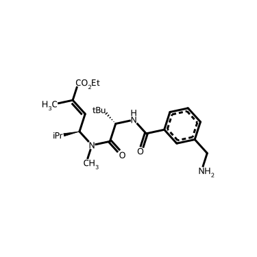 CCOC(=O)/C(C)=C/[C@H](C(C)C)N(C)C(=O)[C@@H](NC(=O)c1cccc(CN)c1)C(C)(C)C